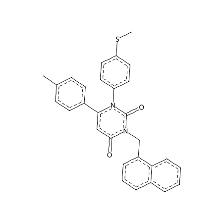 CSc1ccc(-n2c(-c3ccc(C)cc3)cc(=O)n(Cc3cccc4ccccc34)c2=O)cc1